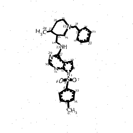 Cc1ccc(S(=O)(=O)n2ccc3c(NCC4CN(Cc5ccccc5)CCC4C)ncnc32)cc1